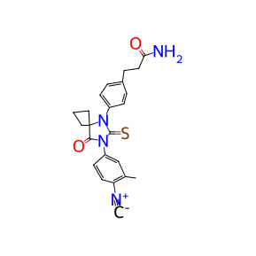 [C-]#[N+]c1ccc(N2C(=O)C3(CCC3)N(c3ccc(CCC(N)=O)cc3)C2=S)cc1C